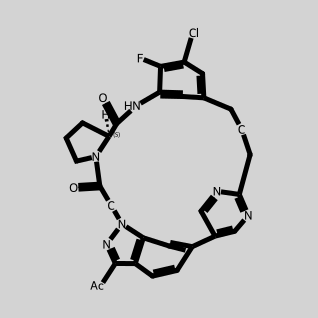 CC(=O)c1nn2c3cc(ccc13)-c1cnc(nc1)CCCc1cc(Cl)c(F)c(c1)NC(=O)[C@@H]1CCCN1C(=O)C2